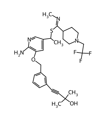 C/N=C(\SC(C)c1cnc(N)c(OCc2cccc(C#CC(C)(C)O)c2)c1)C1CCN(CC(F)(F)F)CC1